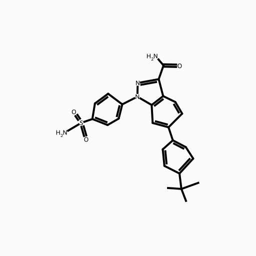 CC(C)(C)c1ccc(-c2ccc3c(C(N)=O)nn(-c4ccc(S(N)(=O)=O)cc4)c3c2)cc1